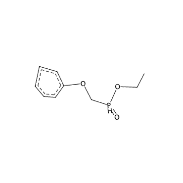 CCO[PH](=O)COc1ccccc1